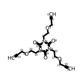 C#CCOCCn1c(=O)n(CCOCC#C)c(=O)n(CCOCC#C)c1=O